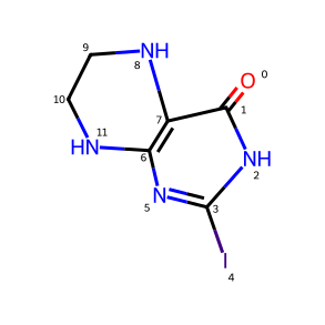 O=c1[nH]c(I)nc2c1NCCN2